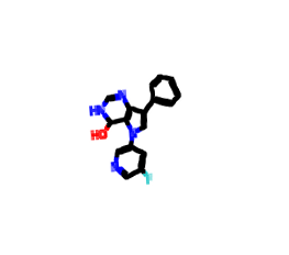 OC1NC=Nc2c(-c3ccccc3)cn(-c3cncc(F)c3)c21